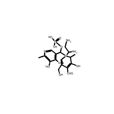 Cc1ncc(C(OP(=O)(O)O)[N+]2(C(N)CN)C=C(CO)C(C=O)=C(O)C2C)c(C=O)c1O